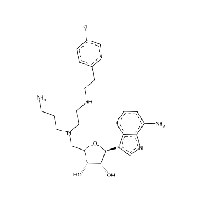 NCCCN(CCNCCc1ccc(Cl)cc1)CC1O[C@@H](n2cnc3c(N)ccnc32)[C@H](O)[C@@H]1O